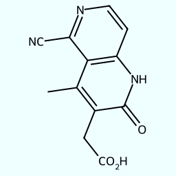 Cc1c(CC(=O)O)c(=O)[nH]c2ccnc(C#N)c12